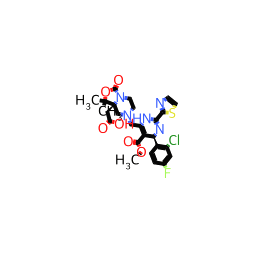 COC(=O)C1=C(CN2CCN3C(=O)OC(C)(C)[C@@]3(CC(=O)O)C2)NC(c2nccs2)=N[C@H]1c1ccc(F)cc1Cl